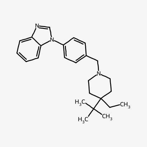 CCC1(C(C)(C)C)CCN(Cc2ccc(-n3cnc4ccccc43)cc2)CC1